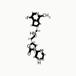 Cc1ncc(F)c2c1C[C@H](CNCC[C@@H]1CN(C3=CNCC=N3)C(=O)O1)C2